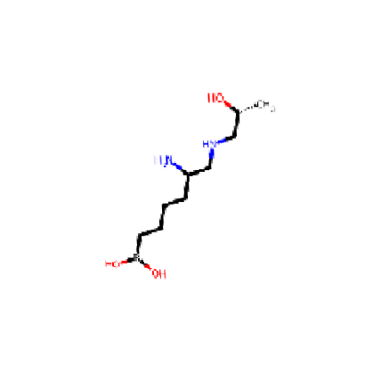 C[C@@H](O)CNCC(N)CCCCB(O)O